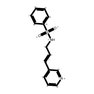 O=S(=O)(NC/C=C/c1cccnc1)c1ccccc1